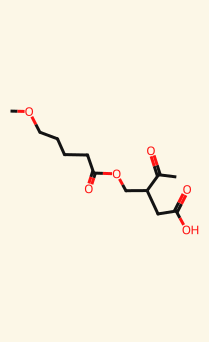 COCCCCC(=O)OCC(CC(=O)O)C(C)=O